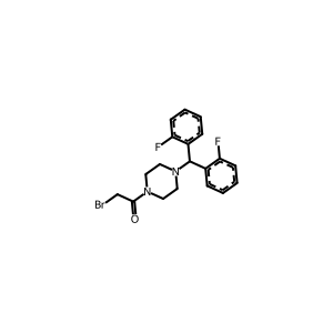 O=C(CBr)N1CCN(C(c2ccccc2F)c2ccccc2F)CC1